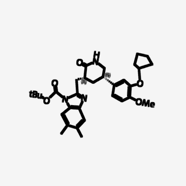 COc1ccc([C@H]2CNC(=O)[C@@H](Cc3nc4cc(C)c(C)cc4n3C(=O)OC(C)(C)C)C2)cc1OC1CCCC1